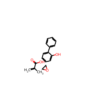 C1CO1.C=C(C)C(=O)O.Oc1ccccc1-c1ccccc1